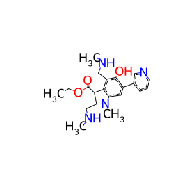 CCOC(=O)C1c2c(cc(-c3cccnc3)c(O)c2CNC)N(C)C1CNC